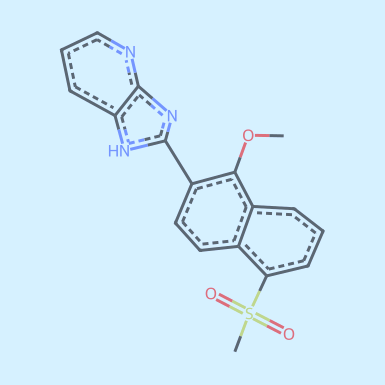 COc1c(-c2nc3ncccc3[nH]2)ccc2c(S(C)(=O)=O)cccc12